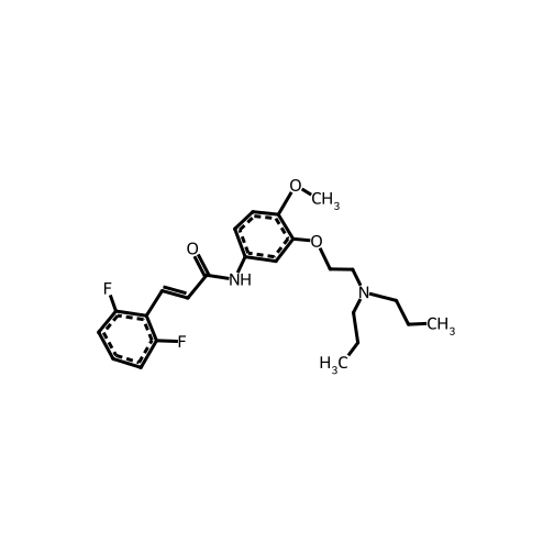 CCCN(CCC)CCOc1cc(NC(=O)C=Cc2c(F)cccc2F)ccc1OC